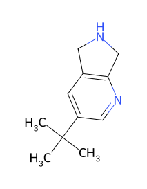 CC(C)(C)c1cnc2c(c1)CNC2